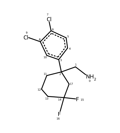 NCC1(c2ccc(Cl)c(Cl)c2)CCCC(F)(F)C1